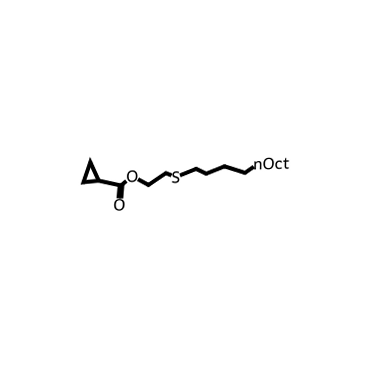 CCCCCCCCCCCCSCCOC(=O)C1CC1